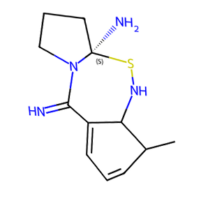 CC1C=CC=C2C(=N)N3CCC[C@@]3(N)SNC21